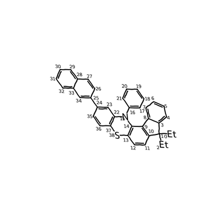 CCC1(CC)c2ccccc2-c2c1ccc1c2N(c2ccccc2)c2cc(-c3ccc4ccccc4c3)ccc2S1